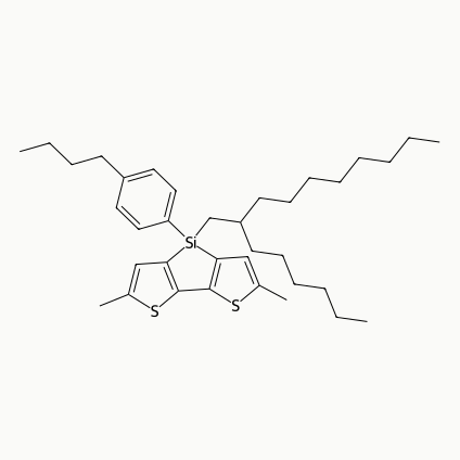 CCCCCCCCC(CCCCCC)C[Si]1(c2ccc(CCCC)cc2)c2cc(C)sc2-c2sc(C)cc21